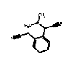 CN(C)C(C#N)C1=CCCC=C1CC#N